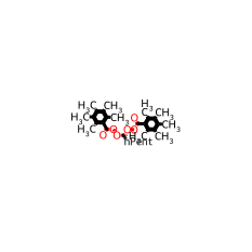 [CH2]CCCC[C](OOC(=O)c1c(C)c(C)c(C)c(C)c1C)OOC(=O)c1c(C)c(C)c(C)c(C)c1C